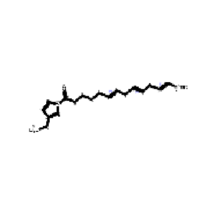 CCCCC/C=C/C/C=C/C/C=C/CCCCC(=O)n1ccc(CC(=O)O)c1